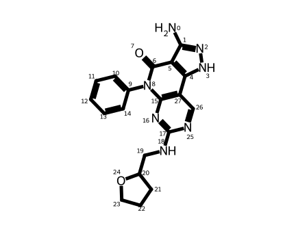 Nc1n[nH]c2c1c(=O)n(-c1ccccc1)c1nc(NCC3CCCO3)ncc21